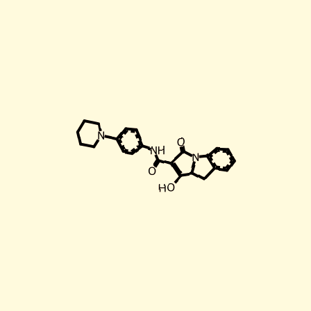 O=C(Nc1ccc(N2CCCCC2)cc1)C1=C(O)C2Cc3ccccc3N2C1=O